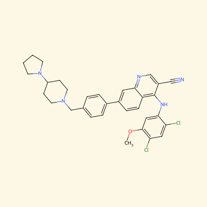 COc1cc(Nc2c(C#N)cnc3cc(-c4ccc(CN5CCC(N6CCCC6)CC5)cc4)ccc23)c(Cl)cc1Cl